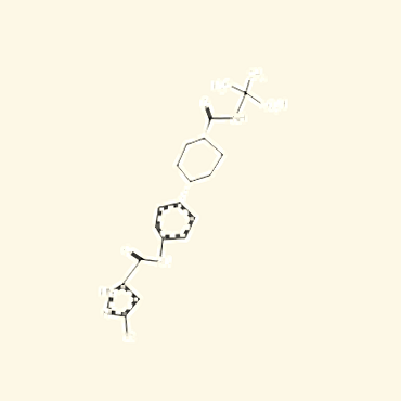 CCc1cc(C(=O)Nc2ccc([C@H]3CC[C@H](C(=O)NC(C)(C)C(=O)O)CC3)cc2)[nH]n1